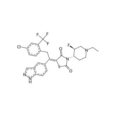 CCN1CC[C@H](N2C(=O)S/C(=C(/Cc3ccc(Cl)cc3C(F)(F)F)c3ccc4[nH]ncc4c3)C2=O)[C@@H](F)C1